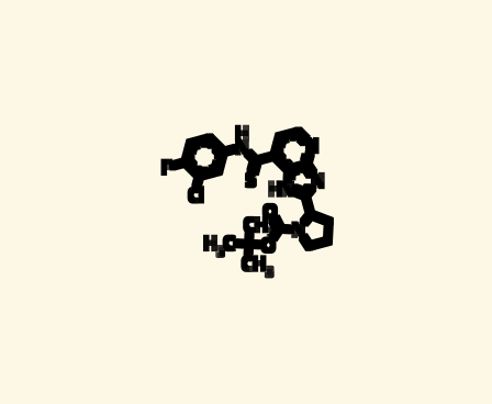 CC(C)(C)OC(=O)N1CCCC1c1nc2nccc(C(=S)Nc3ccc(F)c(Cl)c3)c2[nH]1